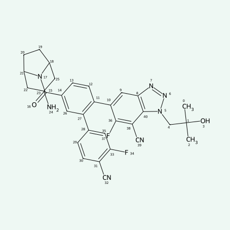 CC(C)(O)Cn1nnc2cc(-c3ccc(C(=O)N4C5CCC4CC(N)C5)cc3-c3ccc(C#N)c(F)c3)c(F)c(C#N)c21